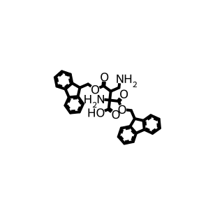 NCC(C(=O)OCC1c2ccccc2-c2ccccc21)C(N)(C(=O)O)C(=O)OCC1c2ccccc2-c2ccccc21